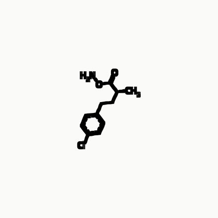 C[C@@H](CCc1ccc(Cl)cc1)C(=O)ON